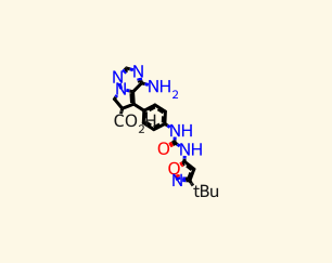 CC(C)(C)c1cc(NC(=O)Nc2ccc(C3=C4C(N)=NC=NN4CC3C(=O)O)cc2)on1